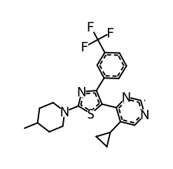 CC1CCN(c2nc(-c3cccc(C(F)(F)F)c3)c(-c3n[c]ncc3C3CC3)s2)CC1